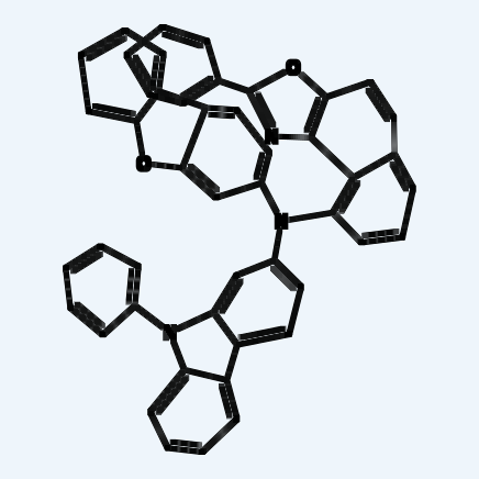 c1ccc(-c2nc3c(ccc4cccc(N(c5ccc6c(c5)oc5ccccc56)c5ccc6c7ccccc7n(-c7ccccc7)c6c5)c43)o2)cc1